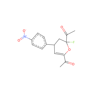 CC(=O)C1=CC(c2ccc([N+](=O)[O-])cc2)CC(F)(C(C)=O)O1